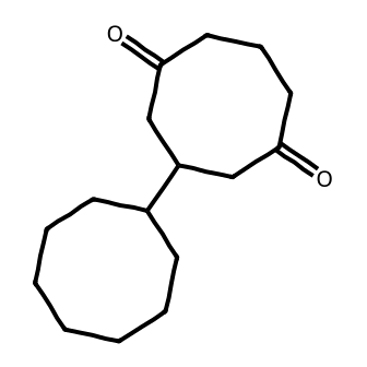 O=C1CCCC(=O)CC(C2CCCCCCC2)C1